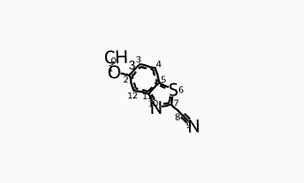 COc1ccc2sc(C#N)nc2c1